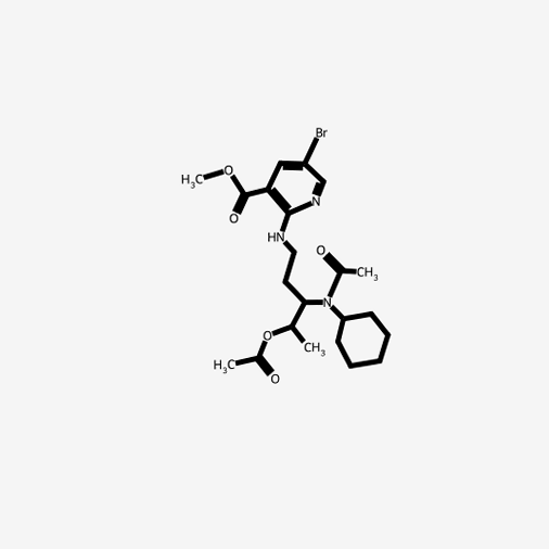 COC(=O)c1cc(Br)cnc1NCCC(C(C)OC(C)=O)N(C(C)=O)C1CCCCC1